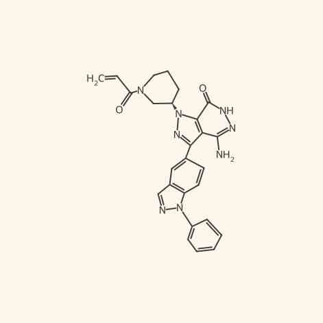 C=CC(=O)N1CCC[C@@H](n2nc(-c3ccc4c(cnn4-c4ccccc4)c3)c3c(N)n[nH]c(=O)c32)C1